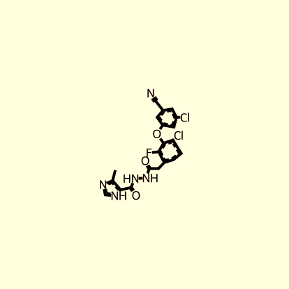 Cc1nc[nH]c1C(=O)NNC(=O)Cc1ccc(Cl)c(Oc2cc(Cl)cc(C#N)c2)c1F